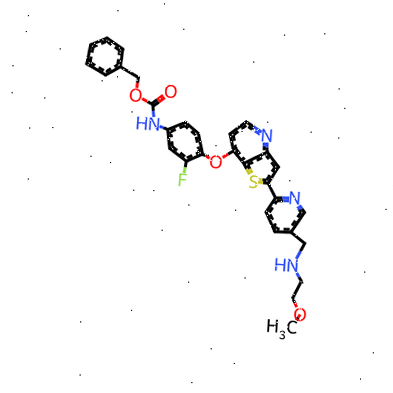 COCCNCc1ccc(-c2cc3nccc(Oc4ccc(NC(=O)OCc5ccccc5)cc4F)c3s2)nc1